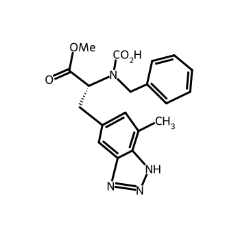 COC(=O)[C@@H](Cc1cc(C)c2[nH]nnc2c1)N(Cc1ccccc1)C(=O)O